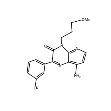 COCCCn1c(=O)c(-c2cccc(C#N)c2)nc2c(N)ccnc21